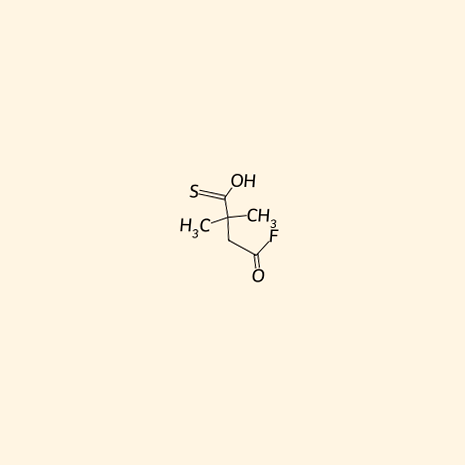 CC(C)(CC(=O)F)C(O)=S